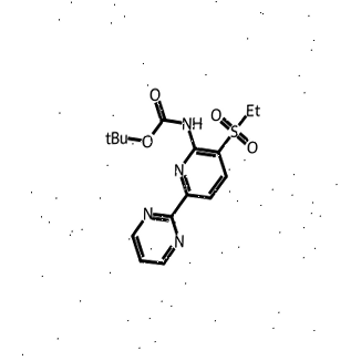 CCS(=O)(=O)c1ccc(-c2ncccn2)nc1NC(=O)OC(C)(C)C